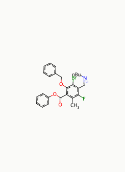 CCCC/N=C\c1c(F)c(C)c(C(=O)Oc2ccccc2)c(OCc2ccccc2)c1Br